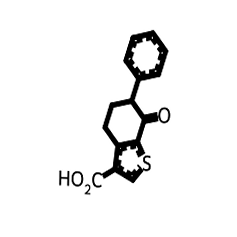 O=C(O)c1csc2c1CCC(c1ccccc1)C2=O